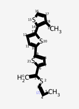 C=C(S/C=C\C)c1ccc(-c2ccc(-c3sccc3C)s2)s1